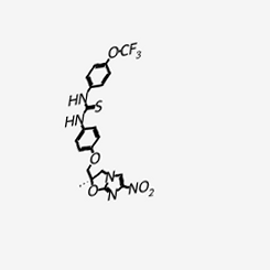 C[C@]1(COc2ccc(NC(=S)Nc3ccc(OC(F)(F)F)cc3)cc2)Cn2cc([N+](=O)[O-])nc2O1